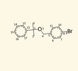 CC(C)(OCc1ccc(Br)cc1)c1ccccc1